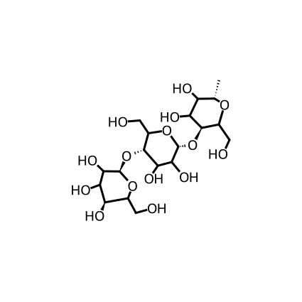 C[C@@H]1OC(CO)[C@@H](O[C@H]2OC(CO)[C@@H](O[C@H]3OC(CO)[C@@H](O)C(O)C3O)C(O)C2O)C(O)C1O